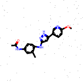 COc1ccc(-c2cc(Nc3ccc(NC(C)=O)cc3C)n[nH]2)cn1